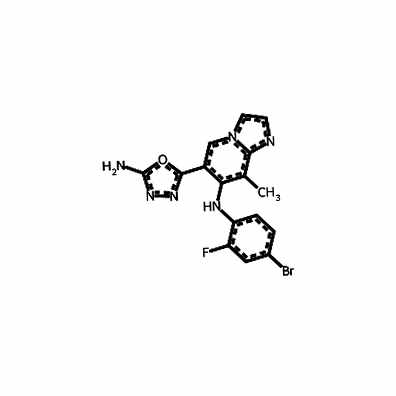 Cc1c(Nc2ccc(Br)cc2F)c(-c2nnc(N)o2)cn2ccnc12